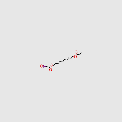 C=CC(=O)OCCCCCCCCCCOC(=O)C#P=O